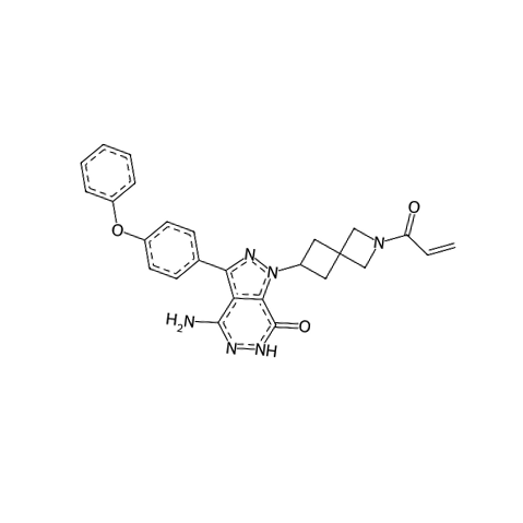 C=CC(=O)N1CC2(CC(n3nc(-c4ccc(Oc5ccccc5)cc4)c4c(N)n[nH]c(=O)c43)C2)C1